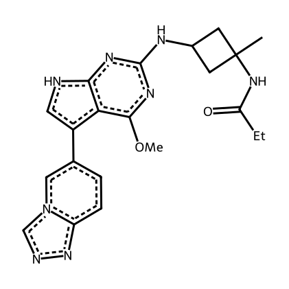 CCC(=O)NC1(C)CC(Nc2nc(OC)c3c(-c4ccc5nncn5c4)c[nH]c3n2)C1